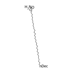 CCCCCCCCCCCCCCCCCCCCCCCCCCCCCCCCCCCCCCCCCCCCOC(N)=O